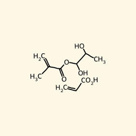 C=C(C)C(=O)OC(O)C(C)O.C=CC(=O)O